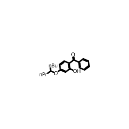 [CH2]CCC(CCCC)Oc1ccc(C(=O)c2ccccc2)c(O)c1